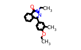 CCOc1ccc(-c2nn(CC)c(=O)c3ccccc23)cc1C